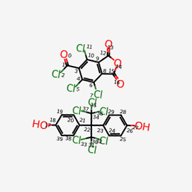 O=C(Cl)c1c(Cl)c(Cl)c2c(c1Cl)C(=O)OC2=O.Oc1ccc(C(c2ccc(O)cc2)(C(Cl)(Cl)Cl)C(Cl)(Cl)Cl)cc1